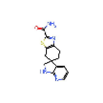 NC(=O)c1nc2c(s1)CC1(CC2)CNc2ncccc21